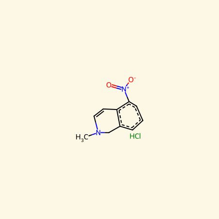 CN1C=Cc2c(cccc2[N+](=O)[O-])C1.Cl